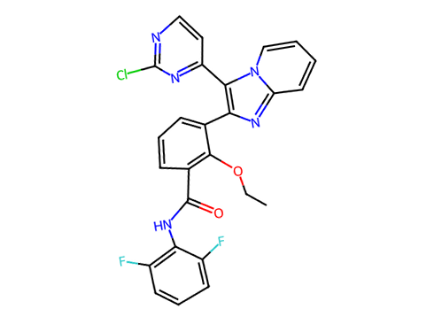 CCOc1c(C(=O)Nc2c(F)cccc2F)cccc1-c1nc2ccccn2c1-c1ccnc(Cl)n1